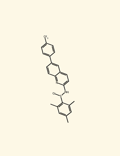 Cc1cc(C)c([S+]([O-])Nc2ccc3cc(-c4ccc(C(F)(F)F)cc4)ccc3n2)c(C)c1